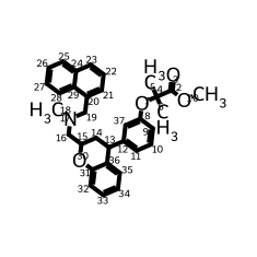 COC(=O)C(C)(C)Oc1cccc(C2CC(CN(C)Cc3cccc4ccccc34)Oc3ccccc32)c1